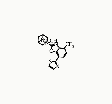 O=C(O)N1C2CC1CN(c1nc3c(C(F)(F)F)ccc(-c4nccs4)c3o1)C2